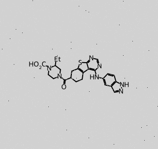 CCC1CN(C(=O)C2CCc3c(sc4ncnc(Nc5ccc6[nH]ncc6c5)c34)C2)CCN1C(=O)O